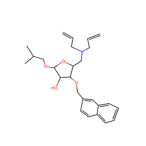 C=CCN(CC=C)CC1OC(OCC(C)C)C(O)C1OCc1ccc2ccccc2c1